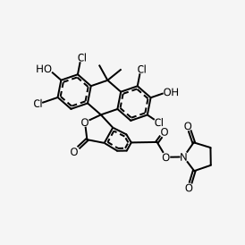 CC1(C)c2c(cc(Cl)c(O)c2Cl)C2(OC(=O)c3ccc(C(=O)ON4C(=O)CCC4=O)cc32)c2cc(Cl)c(O)c(Cl)c21